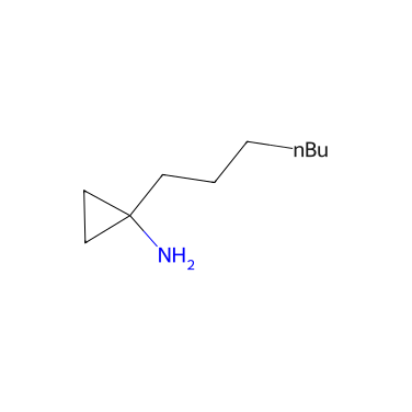 CCCCCCCC1(N)CC1